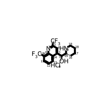 Cl.O[C@@H](c1cc(C(F)(F)F)nc2c(C(F)(F)F)cccc12)[C@H]1CCCCN1